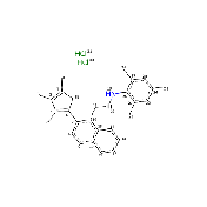 CC1=C(C)C(C)=C(c2ccc3ccccc3c2[CH2][Ti][NH]c2c(C)cc(C)cc2C)C1.Cl.Cl